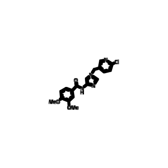 COc1ccc(C(=O)Nc2cn(Cc3ccc(Cl)nc3)cn2)cc1OC